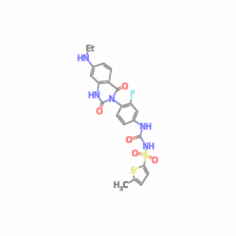 CCNc1ccc2c(=O)n(-c3ccc(NC(=O)NS(=O)(=O)c4ccc(C)s4)cc3F)c(=O)[nH]c2c1